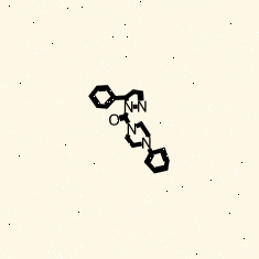 O=C(N1CCN(c2ccccc2)CC1)N1N=CCC1c1ccccc1